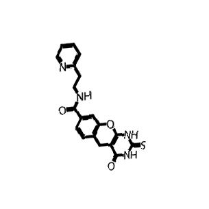 O=C(NCCc1ccccn1)c1ccc2c(c1)Oc1[nH]c(=S)[nH]c(=O)c1C2